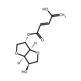 C=C(O)C=CC(=O)O[C@H]1CO[C@H]2[C@@H]1OC[C@H]2O